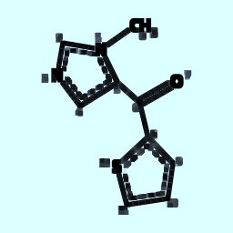 Cn1cncc1C(=O)c1cccs1